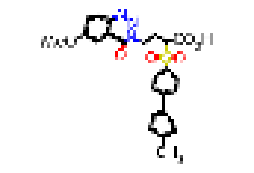 COc1ccc2nnn(CCC(C(=O)O)S(=O)(=O)c3ccc(-c4ccc(C)cc4)cc3)c(=O)c2c1